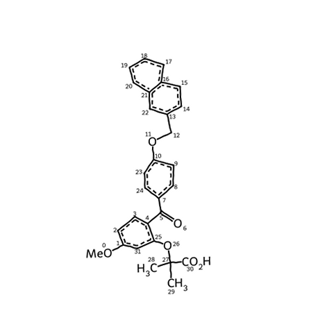 COc1ccc(C(=O)c2ccc(OCc3ccc4ccccc4c3)cc2)c(OC(C)(C)C(=O)O)c1